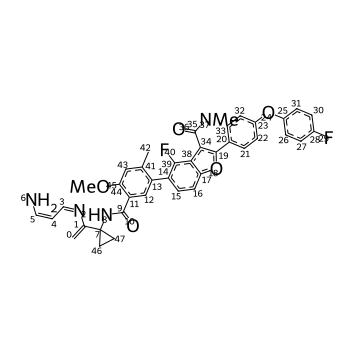 C=C(/N=C\C=C/N)C1(NC(=O)c2cc(-c3ccc4oc(-c5ccc(Oc6ccc(F)cc6)cc5)c(C(=O)NC)c4c3F)c(C)cc2OC)CC1